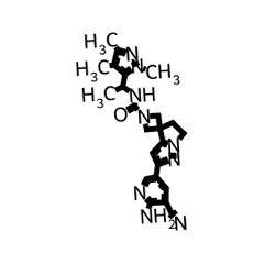 Cc1nn(C)c(C(C)NC(=O)N2CC3(CCn4nc(-c5cnc(N)c(C#N)c5)cc43)C2)c1C